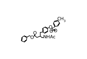 CC(=O)NCC(CC(=O)OCc1ccccc1)Cc1ccc(OS(=O)(=O)c2ccc(C)cc2)cc1